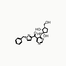 O=C(c1ccn(Cc2ccccc2)n1)c1cncnc1N[C@]1(O)CC[C@H](CO)[C@H]1O